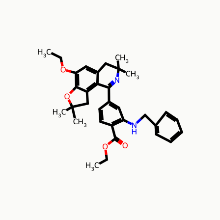 CCOC(=O)c1ccc(C2=NC(C)(C)Cc3cc(OCC)c4c(c32)CC(C)(C)O4)cc1NCc1ccccc1